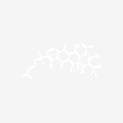 CC(C)CCCC(C)(C)c1ccc2c(c1O)C(=O)C1=C(O)C3(O)C(=O)C(C(N)=O)=C(O)C(N(C)C)C3C(O)C1C2C